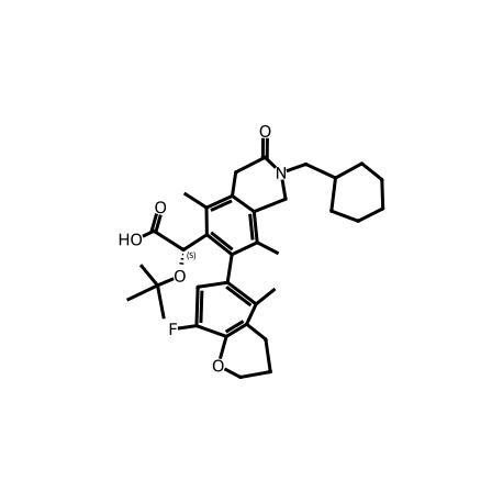 Cc1c(-c2c(C)c3c(c(C)c2[C@H](OC(C)(C)C)C(=O)O)CC(=O)N(CC2CCCCC2)C3)cc(F)c2c1CCCO2